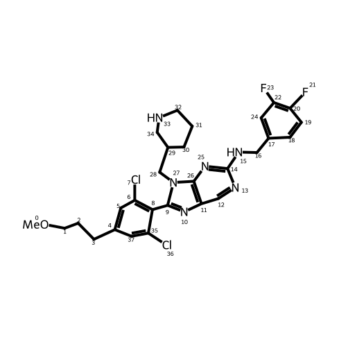 COCCCc1cc(Cl)c(-c2nc3cnc(NCc4ccc(F)c(F)c4)nc3n2CC2CCCNC2)c(Cl)c1